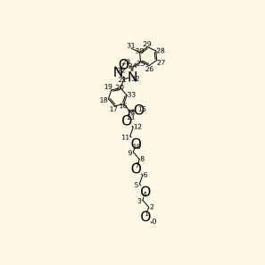 COCCOCCOCCOCCOC(=O)c1cccc(-c2noc(-c3ccccc3C)n2)c1